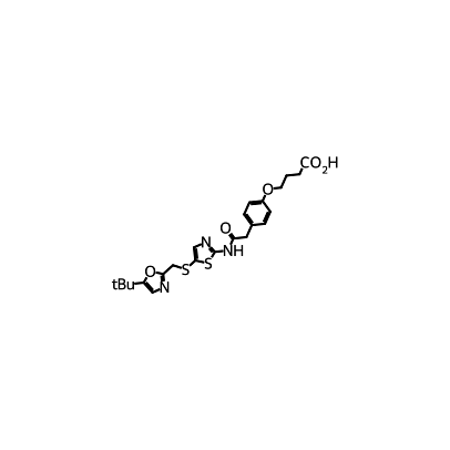 CC(C)(C)c1cnc(CSc2cnc(NC(=O)Cc3ccc(OCCCC(=O)O)cc3)s2)o1